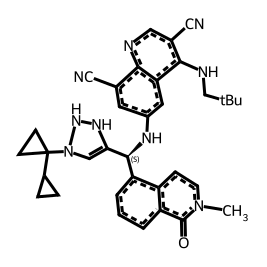 Cn1ccc2c([C@H](Nc3cc(C#N)c4ncc(C#N)c(NCC(C)(C)C)c4c3)C3=CN(C4(C5CC5)CC4)NN3)cccc2c1=O